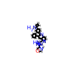 CN1CCOCC1c1n[nH]c(-c2nccc3nc(-c4ccc(C5(N)CCC5)cc4)c(-c4ccccc4)cc23)n1